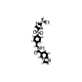 CCN(C)c1ncc(S(=O)(=O)c2ccc(CNC(=O)c3ccc4nccn4c3)cc2)s1